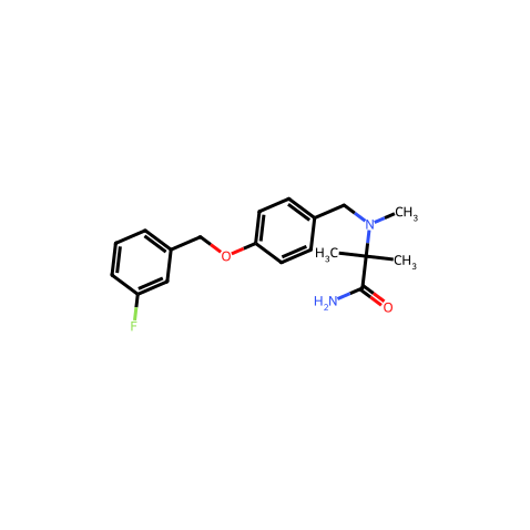 CN(Cc1ccc(OCc2cccc(F)c2)cc1)C(C)(C)C(N)=O